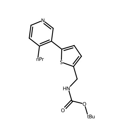 CCCc1ccncc1-c1ccc(CNC(=O)OC(C)(C)C)s1